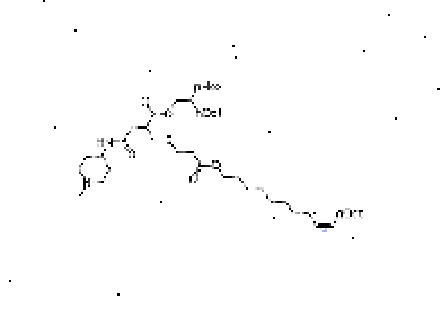 CCCCCCCC/C=C\CCCCCCCCOC(=O)CCSCC(CC(=O)NC1CCN(C)CC1)C(=O)OCC(CCCCCC)CCCCCCCC